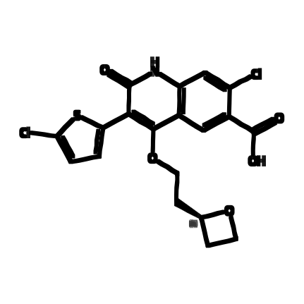 O=C(O)c1cc2c(OCC[C@@H]3CCO3)c(-c3ccc(Cl)s3)c(=O)[nH]c2cc1Cl